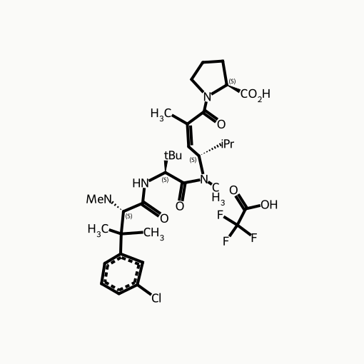 CN[C@H](C(=O)N[C@H](C(=O)N(C)[C@H](C=C(C)C(=O)N1CCC[C@H]1C(=O)O)C(C)C)C(C)(C)C)C(C)(C)c1cccc(Cl)c1.O=C(O)C(F)(F)F